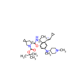 C[C@H](NC(=O)[C@@H]1CC2(CC2)CN1C(=O)OC(C)(C)C)c1ccc(N(C)C2CCN(C)CC2)cc1/C=C/C1CC1